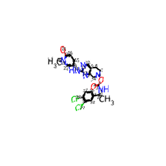 C[C@@H](NC(=O)ON1CCc2cnc(Nc3ccc(=O)n(C)c3)nc2C1)c1ccc(Cl)c(Cl)c1